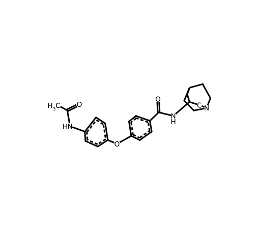 CC(=O)Nc1ccc(Oc2ccc(C(=O)NC3CC4CCN(CC4)C3)cc2)cc1